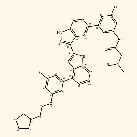 Cc1cc(NC(=O)CN(C)C)cc(-c2ccc3[nH]nc(-c4cc5c(-c6cc(F)cc(OCCN7CCCC7)c6)cncc5[nH]4)c3n2)c1